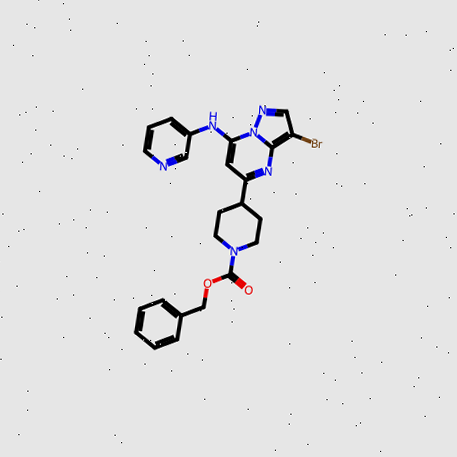 O=C(OCc1ccccc1)N1CCC(c2cc(Nc3cccnc3)n3ncc(Br)c3n2)CC1